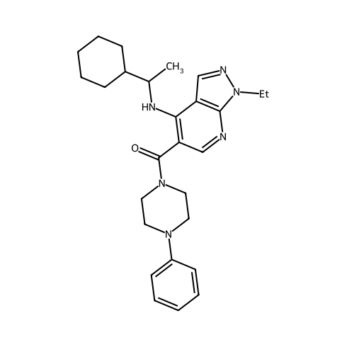 CCn1ncc2c(NC(C)C3CCCCC3)c(C(=O)N3CCN(c4ccccc4)CC3)cnc21